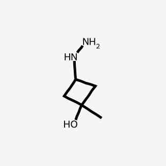 CC1(O)CC(NN)C1